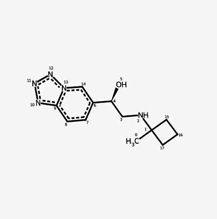 CC1(NC[C@H](O)c2ccc3nnnn3c2)CCC1